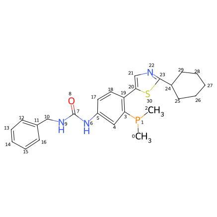 CP(C)c1cc(NC(=O)NCc2ccccc2)ccc1-c1cnc(C2CCCCC2)s1